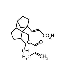 C=C(C)C(=O)OCC12C(CO)CCC1C1CCC2(C=CC(=O)O)C1